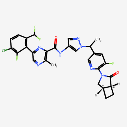 Cc1ncc(-c2c(C(F)F)ccc(Cl)c2F)nc1C(=O)Nc1cnn(C(C)c2cnc(N3C[C@H]4CC[C@H]4C3=O)c(F)c2)c1